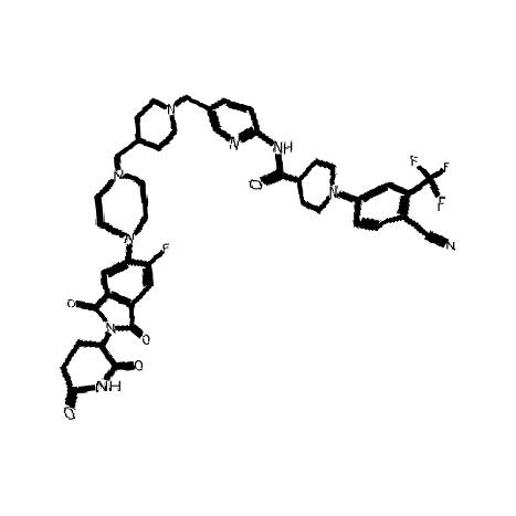 N#Cc1ccc(N2CCC(C(=O)Nc3ccc(CN4CCC(CN5CCN(c6cc7c(cc6F)C(=O)N(C6CCC(=O)NC6=O)C7=O)CC5)CC4)cn3)CC2)cc1C(F)(F)F